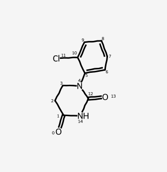 O=C1CCN(c2ccccc2Cl)C(=O)N1